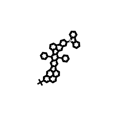 CC(C)(C)c1cc2ccc3ccc4c5cc6c(-c7ccccc7)c7c8cc9cc(-n%10c%11ccccc%11c%11ccccc%11%10)ccc9c9cccc(c7c(-c7ccccc7)c6cc5c5cc(c1)c2c3c45)c98